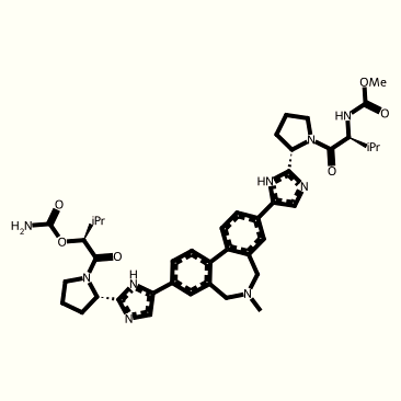 COC(=O)N[C@H](C(=O)N1CCC[C@H]1c1ncc(-c2ccc3c(c2)CN(C)Cc2cc(-c4cnc([C@@H]5CCCN5C(=O)[C@@H](OC(N)=O)C(C)C)[nH]4)ccc2-3)[nH]1)C(C)C